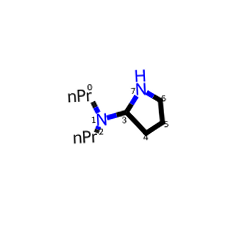 CCCN(CCC)C1CCCN1